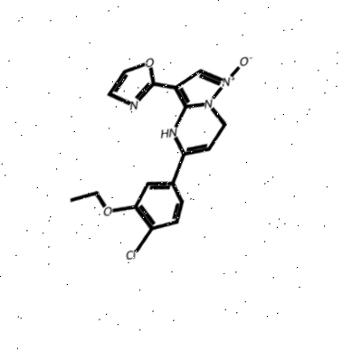 CCOc1cc(C2=CCn3c(c(-c4ncco4)c[n+]3[O-])N2)ccc1Cl